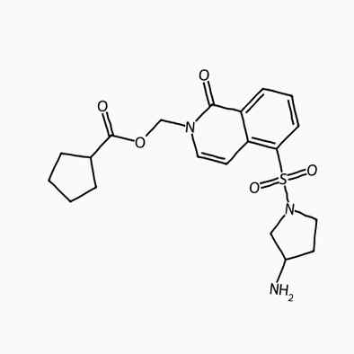 NC1CCN(S(=O)(=O)c2cccc3c(=O)n(COC(=O)C4CCCC4)ccc23)C1